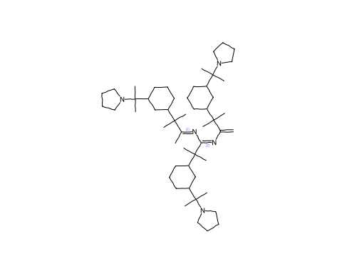 C=C(/N=C(\N=C(/C)C(C)(C)C1CCCC(C(C)(C)N2CCCC2)C1)C(C)(C)C1CCCC(C(C)(C)N2CCCC2)C1)C(C)(C)C1CCCC(C(C)(C)N2CCCC2)C1